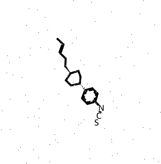 CC=CCC[C@H]1CC[C@H](c2ccc(N=C=S)cc2)CC1